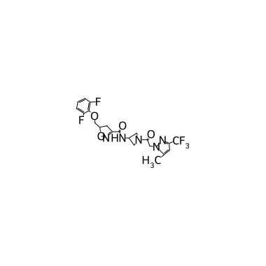 Cc1cc(C(F)(F)F)nn1CC(=O)N1CC(NC(=O)C2=NOC(COc3c(F)cccc3F)C2)C1